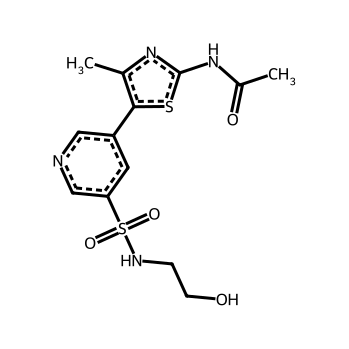 CC(=O)Nc1nc(C)c(-c2cncc(S(=O)(=O)NCCO)c2)s1